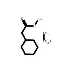 CC(=O)O.CCCCOC(=O)CC1CCCCC1